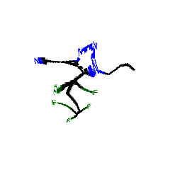 CCCn1nnc(C#N)c1C(F)(F)C(F)(F)F